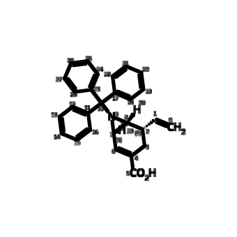 C=C[C@@H]1CC(C(=O)O)=C[C@H]2[C@@H]1N2C(c1ccccc1)(c1ccccc1)c1ccccc1